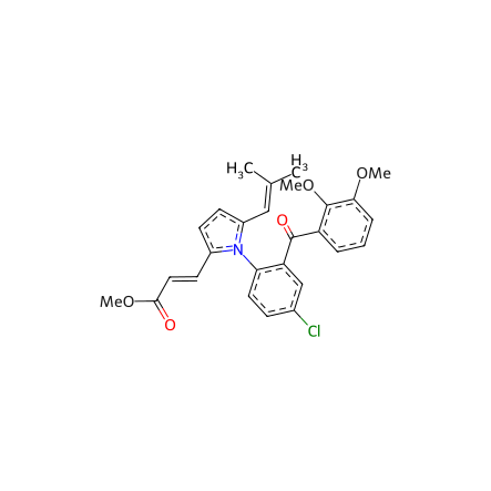 COC(=O)/C=C/c1ccc(C=C(C)C)n1-c1ccc(Cl)cc1C(=O)c1cccc(OC)c1OC